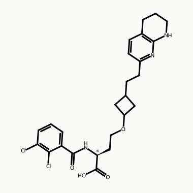 O=C(N[C@@H](CCOC1CC(CCc2ccc3c(n2)NCCC3)C1)C(=O)O)c1cccc(Cl)c1Cl